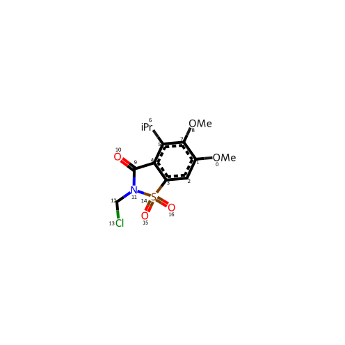 COc1cc2c(c(C(C)C)c1OC)C(=O)N(CCl)S2(=O)=O